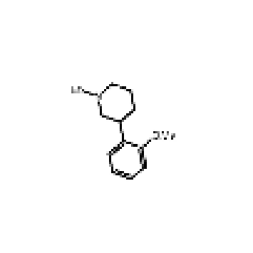 CCN1CCCC(c2ccccc2OC)C1